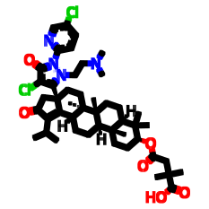 CC(C)C1=C2[C@H]3CC[C@@H]4[C@@]5(C)CC[C@H](OC(=O)CC(C)(C)C(=O)O)C(C)(C)[C@@H]5CC[C@@]4(C)[C@]3(C)CC[C@@]2(c2c(Cl)c(=O)n(-c3ccc(Cl)cn3)n2CCN(C)C)CC1=O